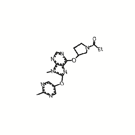 CCC(=O)N1CCC(Oc2ncnc3c2nc(Oc2cnc(C)nc2)n3C)C1